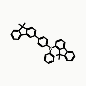 CC1(C)c2ccccc2-c2cc(-c3ccc(N(c4ccccc4)c4cccc5c4C(C)(C)c4ccccc4-5)cc3)ccc21